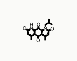 Cc1cc(=O)[nH]c2c1C(=O)c1c(C)cc(=O)n(CC(C)C)c1C2=O